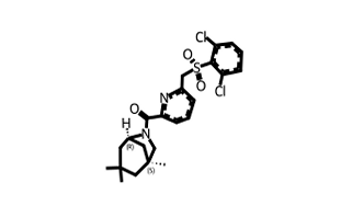 CC1(C)C[C@@H]2C[C@@](C)(CN2C(=O)c2cccc(CS(=O)(=O)c3c(Cl)cccc3Cl)n2)C1